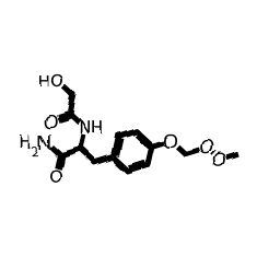 COOCOc1ccc(CC(NC(=O)CO)C(N)=O)cc1